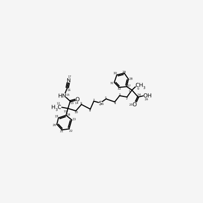 CC(CCCCSCCCCC(C)(C(=O)NC#N)c1ccccc1)(C(=O)O)c1ccccc1